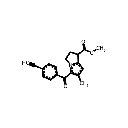 C#Cc1ccc(C(=O)c2c(C)cc3n2CCC3C(=O)OC)cc1